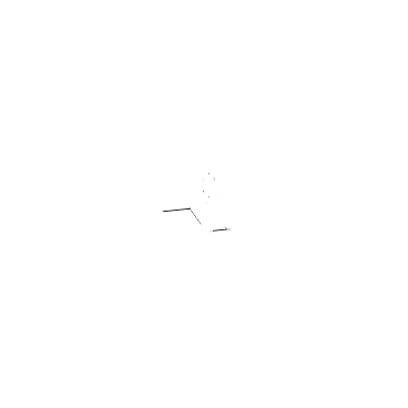 CCOO.[NaH].[NaH]